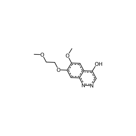 COCCOc1cc2nncc(O)c2cc1OC